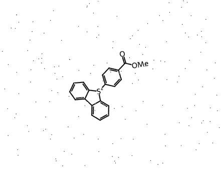 COC(=O)c1ccc(-[s+]2c3ccccc3c3ccccc32)cc1